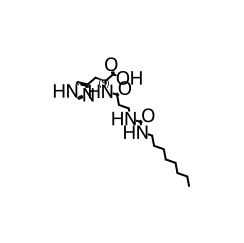 CCCCCCCCNC(=O)NCCC(=O)N[C@@H](Cc1c[nH]cn1)C(=O)O